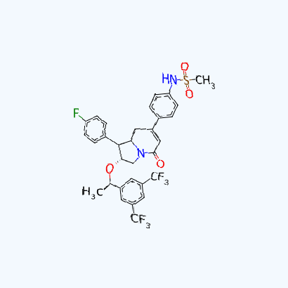 C[C@@H](O[C@H]1CN2C(=O)C=C(c3ccc(NS(C)(=O)=O)cc3)CC2C1c1ccc(F)cc1)c1cc(C(F)(F)F)cc(C(F)(F)F)c1